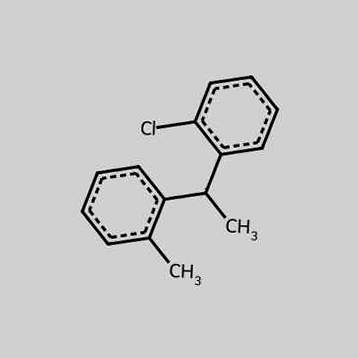 C[C](c1ccccc1C)c1ccccc1Cl